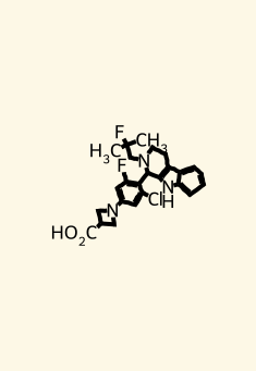 CC(C)(F)CN1CCc2c([nH]c3ccccc23)C1c1c(F)cc(N2CC(C(=O)O)C2)cc1Cl